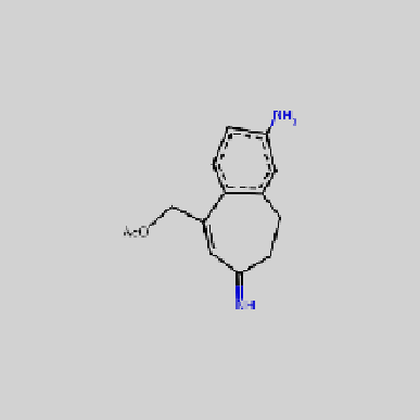 CC(=O)OCC1=CC(=N)CCc2cc(N)ccc21